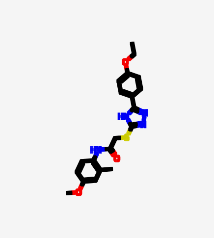 CCOc1ccc(-c2nnc(SCC(=O)Nc3ccc(OC)cc3C)[nH]2)cc1